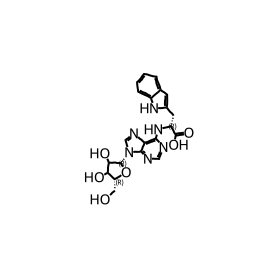 O=C(O)[C@@H](Cc1cc2ccccc2[nH]1)Nc1ncnc2c1ncn2[C@@H]1O[C@H](CO)C(O)C1O